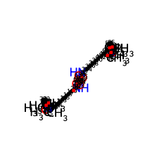 CC(ON1C(C)(C)CC(CCCCCCCCCCCCNP2OCC3(CO2)COP(NCCCCCCCCCCCCC2CC(C)(C)N(OC(C)c4ccccc4)C(C)(C)C2)OC3)CC1(C)C)c1ccccc1